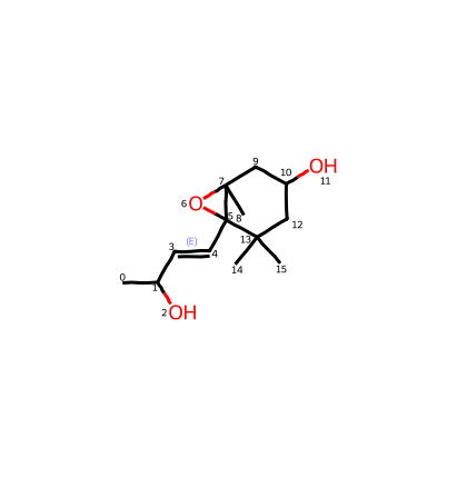 CC(O)/C=C/C12OC1(C)CC(O)CC2(C)C